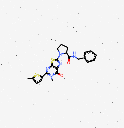 Cc1ccc(-c2nc3sc(N4CCCC4C(=O)NCc4ccccc4)nc3c(=O)n2C)s1